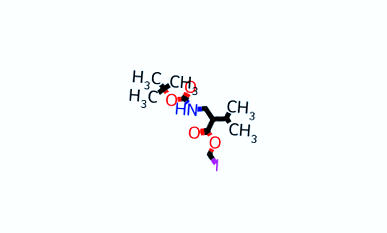 CC(C)C(CNC(=O)OC(C)(C)C)C(=O)OCI